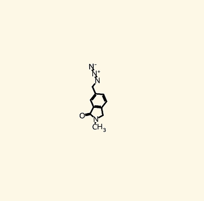 CN1Cc2ccc(CN=[N+]=[N-])cc2C1=O